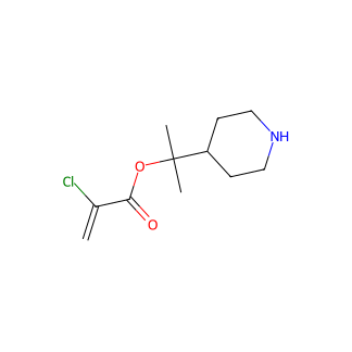 C=C(Cl)C(=O)OC(C)(C)C1CCNCC1